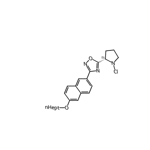 CCCCCCCOc1ccc2cc(-c3noc([C@@H]4CCCN4Cl)n3)ccc2c1